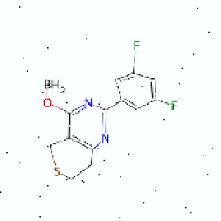 BOc1nc(-c2cc(F)cc(F)c2)nc2c1CSCC2